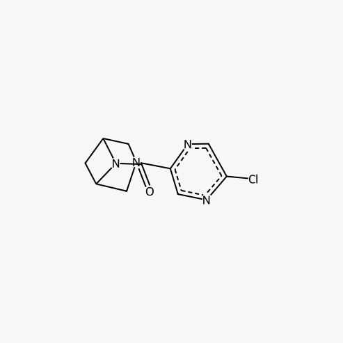 O=CN1C2CC1CN(c1cnc(Cl)cn1)C2